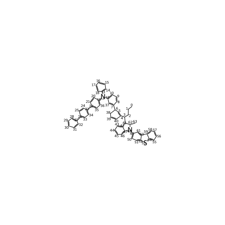 CCCC(C1=CC(c2cccc(N(c3ccccc3)c3ccc(-c4ccc(-c5ccccc5)cc4)cc3)c2)CC=C1)C1c2ccccc2N(c2ccc3sc4ccccc4c3c2)C1C